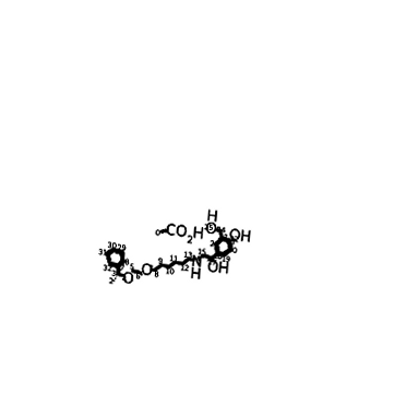 CC(=O)O.C[C@@H](OCCOCCCCCCNC[C@H](O)c1ccc(O)c(CO)c1)c1ccccc1